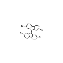 Brc1ccc2c(c1)C(=C1c3cc(Br)ccc3-c3ccc(Br)cc31)c1cc(Br)ccc1-2